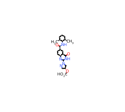 Cc1cccc(C)c1NC(=O)c1ccc2nc(-n3cc(OC(=O)O)cn3)[nH]c(=O)c2c1